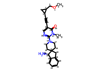 COCC1CC1C#Cc1cnc(N2CCC3(CC2)Cc2ccccc2[C@H]3N)n(C)c1=O